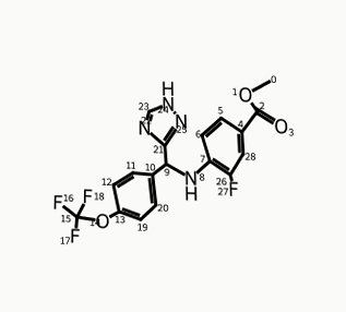 COC(=O)c1ccc(NC(c2ccc(OC(F)(F)F)cc2)c2nc[nH]n2)c(F)c1